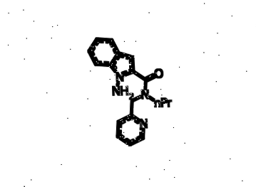 CCCN(Cc1ccccn1)C(=O)c1cc2ccccc2n1N